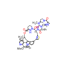 CO[C@@H](C)c1ncccc1-c1c2c3cc(ccc3n1C)-c1csc(n1)C[C@H](NC(=O)[C@H](C(C)C)N(C)C(=O)N(C)[C@H]1CCN(C(=O)[C@H]3CN3)C1)C(=O)N1CCC[C@H](N1)C(=O)OCC(C)(C)C2